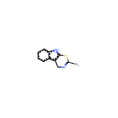 CC1=NCc2c([nH]c3ccccc23)S1